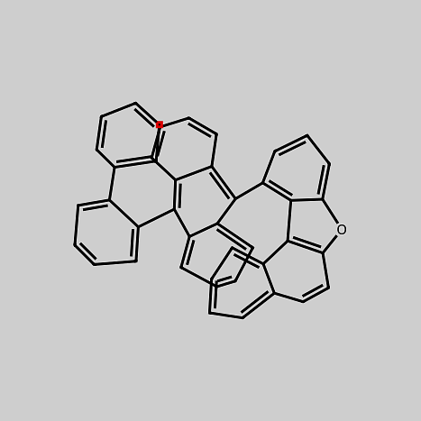 c1ccc(-c2ccccc2-c2c3ccccc3c(-c3cccc4oc5ccc6ccccc6c5c34)c3ccccc23)cc1